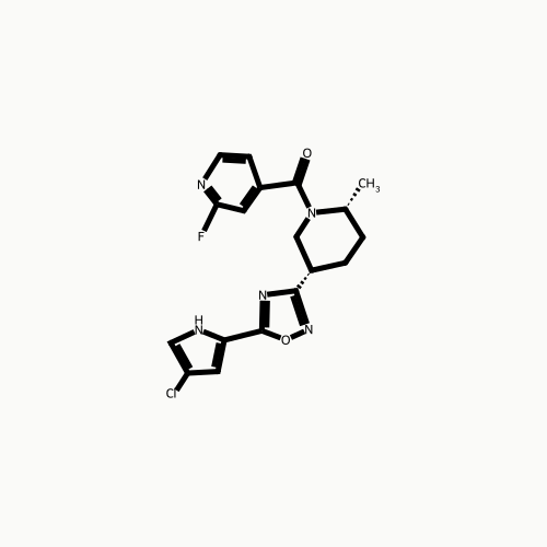 C[C@@H]1CC[C@H](c2noc(-c3cc(Cl)c[nH]3)n2)CN1C(=O)c1ccnc(F)c1